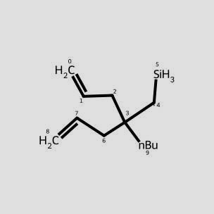 C=CCC([CH][SiH3])(CC=C)CCCC